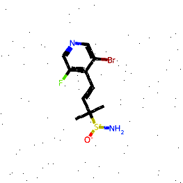 CC(C)(C=Cc1c(F)cncc1Br)[S+](N)[O-]